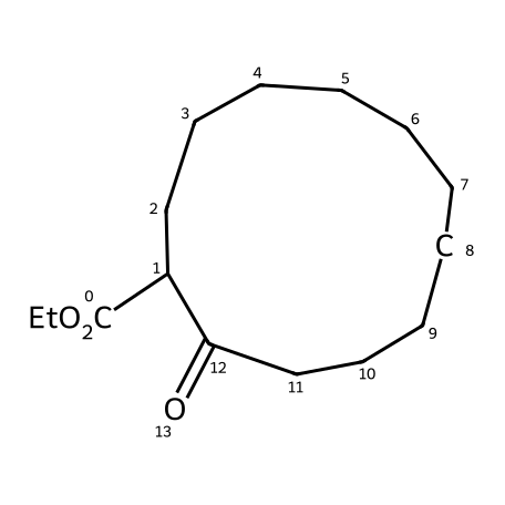 CCOC(=O)C1CCCCCCCCCCC1=O